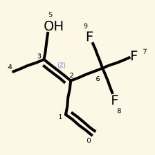 C=C/C(=C(\C)O)C(F)(F)F